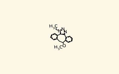 CCn1nnc2c1-c1ccccc1CC(OC)c1ccccc1-2